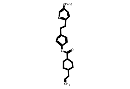 C=CCC1CCC(C(=O)Oc2ccc(CCc3ccc(CCCCC)cn3)cc2)CC1